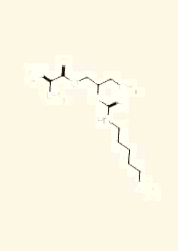 C=C(C)C(=O)OCC(CC)OC(=O)NCCCCCC